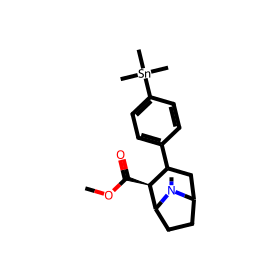 COC(=O)[C@H]1C(c2cc[c]([Sn]([CH3])([CH3])[CH3])cc2)CC2CCC1N2C